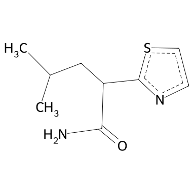 CC(C)CC(C(N)=O)c1nccs1